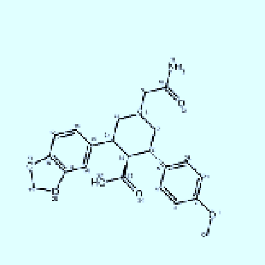 COc1ccc([C@H]2CN(CC(N)=O)CC(c3ccc4c(c3)OCO4)[C@@H]2C(=O)O)cc1